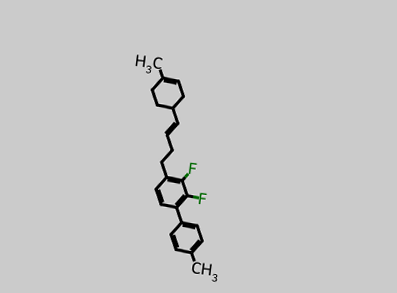 CC1=CCC(/C=C/CCc2ccc(-c3ccc(C)cc3)c(F)c2F)CC1